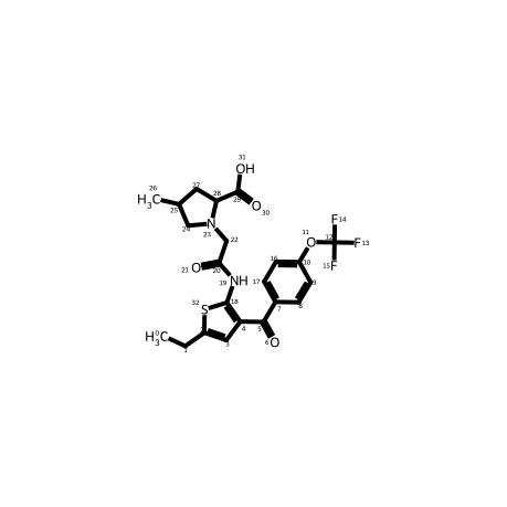 CCc1cc(C(=O)c2ccc(OC(F)(F)F)cc2)c(NC(=O)CN2CC(C)CC2C(=O)O)s1